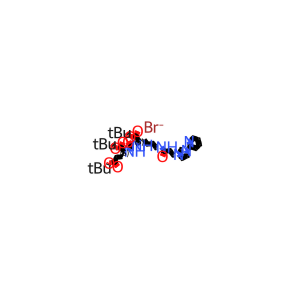 CC(C)(C)OC(=O)CC[C@H](NC(=O)N[C@@H](CCCCNC(=O)CC[n+]1ccn(-c2ccccn2)c1)C(=O)OC(C)(C)C)C(=O)OC(C)(C)C.[Br-]